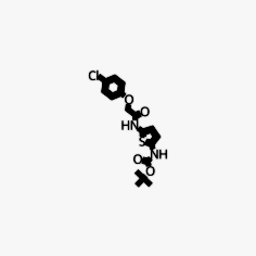 CC(C)(C)OC(=O)Nc1ccc(NC(=O)COc2ccc(Cl)cc2)s1